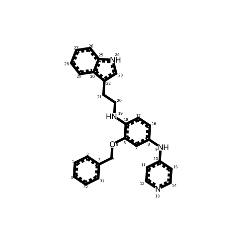 c1ccc(COc2cc(Nc3ccncc3)ccc2NCCc2c[nH]c3ccccc23)cc1